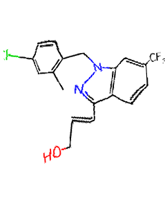 Cc1cc(Cl)ccc1Cn1nc(C=CCO)c2ccc(C(F)(F)F)cc21